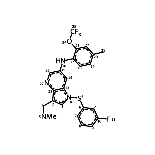 CNCc1cn(Sc2cccc(F)c2)c2cc(Nc3ccc(C)cc3OC(F)(F)F)cnc12